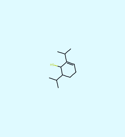 CC(C)C1=CCCC(C(C)C)C1S